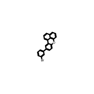 Brc1cccc(-c2ccc3c(c2)-c2cccc4cccc(c24)O3)c1